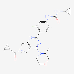 CC1COCCN1c1nc(-c2ccc(NC(=O)NC3CC3)cc2F)nc2c1CN(C(=O)C1CC1)C2